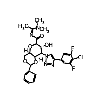 CC(=NC(=O)[C@@H]1O[C@@H]2COC(c3ccccc3)O[C@@H]2[C@H](n2cc(-c3cc(F)c(Cl)c(F)c3)nn2)[C@H]1O)N(C)C